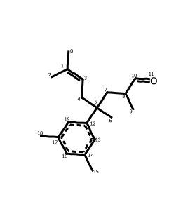 CC(C)=CCC(C)(CC(C)C=O)c1cc(C)cc(C)c1